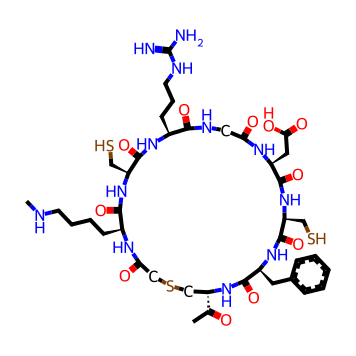 CNCCCC[C@@H]1NC(=O)CSC[C@@H](C(C)=O)NC(=O)[C@H](Cc2ccccc2)NC(=O)[C@H](CS)NC(=O)[C@H](CC(=O)O)NC(=O)CNC(=O)[C@H](CCCNC(=N)N)NC(=O)[C@H](CS)NC1=O